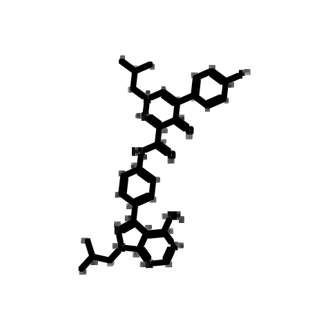 CC(C)Cn1cc(-c2ccc(F)cc2)c(=O)c(C(=O)Nc2ccc(-c3nn(CC(C)C)c4ncnc(N)c34)cc2)n1